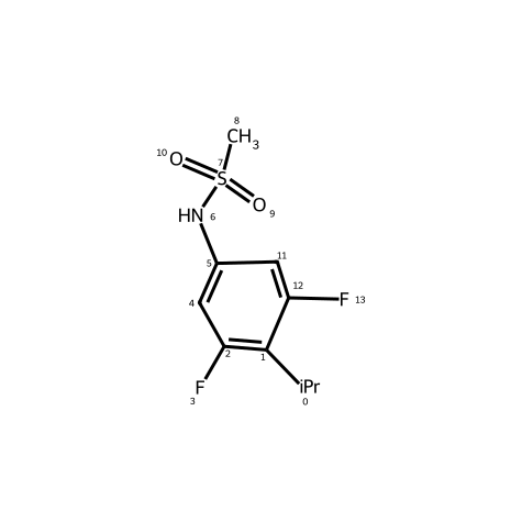 CC(C)c1c(F)cc(NS(C)(=O)=O)cc1F